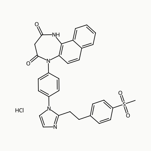 CS(=O)(=O)c1ccc(CCc2nccn2-c2ccc(N3C(=O)CC(=O)Nc4c3ccc3ccccc43)cc2)cc1.Cl